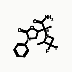 CC1N([C@@](C)(C(N)=O)C2CN(c3ccccc3)C(=O)O2)CC1(F)F